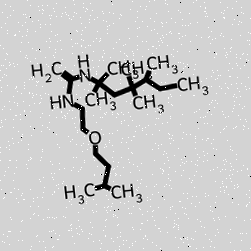 C=C(NCCOCCC(C)C)NC(C)(C)CC(C)(C)C(C)CC